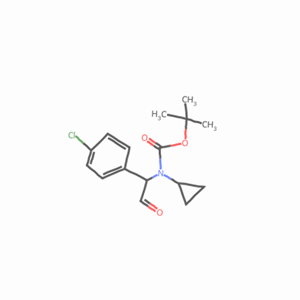 CC(C)(C)OC(=O)N(C1CC1)C(C=O)c1ccc(Cl)cc1